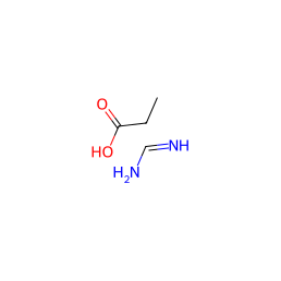 CCC(=O)O.N=CN